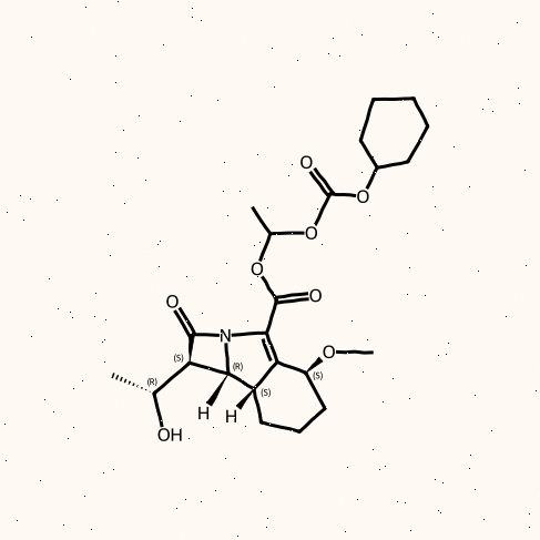 CO[C@H]1CCC[C@H]2C1=C(C(=O)OC(C)OC(=O)OC1CCCCC1)N1C(=O)[C@H]([C@@H](C)O)[C@@H]21